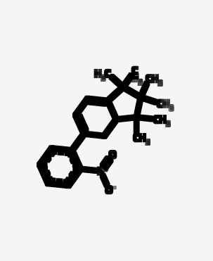 CC1(C)C2=CC=C(c3ccccc3[N+](=O)[O-])CC2C(C)(C)C1(C)C